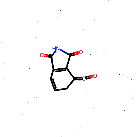 O=C=C1CC=CC2=C1C(=O)NC2=O